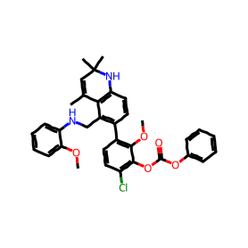 COc1ccccc1NCc1c(-c2ccc(Cl)c(OC(=O)Oc3ccccc3)c2OC)ccc2c1C(C)=CC(C)(C)N2